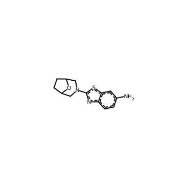 Nc1ccc2nc(N3CC4CCC(C3)O4)sc2c1